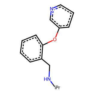 CC(C)NCc1ccccc1Oc1cccnc1